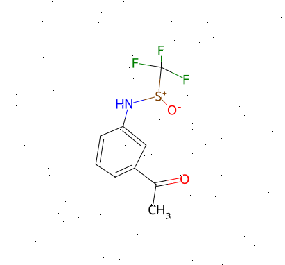 CC(=O)c1cccc(N[S+]([O-])C(F)(F)F)c1